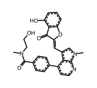 CN(CCO)C(=O)c1ccc(-c2ccnc3c2c(C=C2Oc4cccc(O)c4C2=O)cn3C)cc1